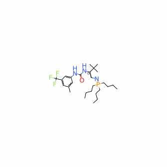 CCCCP(CCCC)(CCCC)=NC[C@@H](NC(=O)Nc1cc(C)cc(C(F)(F)F)c1)C(C)(C)C